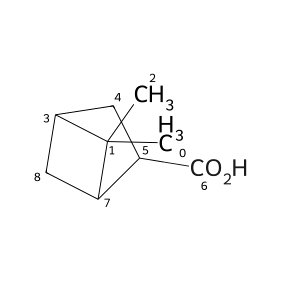 CC1(C)C2CC(C(=O)O)C1C2